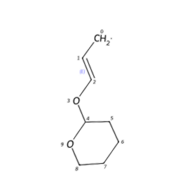 [CH2]/C=C/OC1CCCCO1